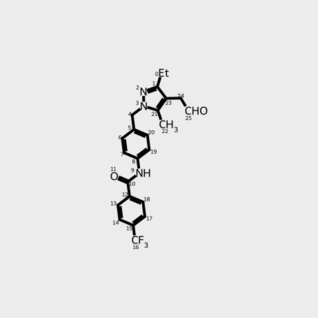 CCc1nn(Cc2ccc(NC(=O)c3ccc(C(F)(F)F)cc3)cc2)c(C)c1CC=O